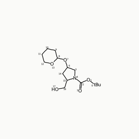 CC(C)(C)OC(=O)N1CC(OC2CCCCO2)CC1CO